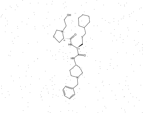 O=C(NC1CCN(Cc2ccccc2)CC1)[C@H](CSCC1CCCCC1)NC(=O)[C@@H]1CSCN1CCO